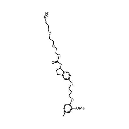 COc1cc(C)ccc1OCCCOc1ccc2c(c1)CC[C@H]2CC(=O)OCCOCCOCCN=[N+]=[N-]